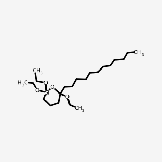 CCCCCCCCCCCCC1(OCC)CCC[Si](OCC)(OCC)O1